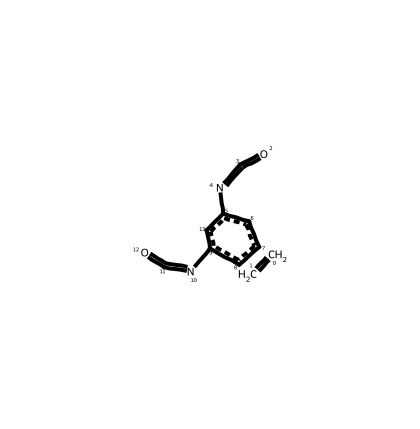 C=C.O=C=Nc1cccc(N=C=O)c1